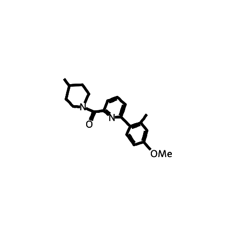 COc1ccc(-c2cccc(C(=O)N3CCC(C)CC3)n2)c(C)c1